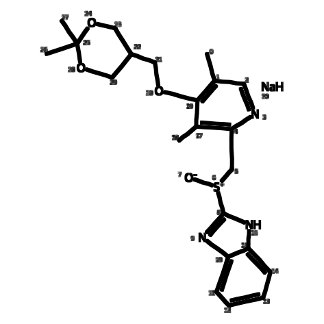 Cc1cnc(C[S+]([O-])c2nc3ccccc3[nH]2)c(C)c1OCC1COC(C)(C)OC1.[NaH]